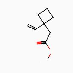 C=CC1(CC(=O)OC)CCC1